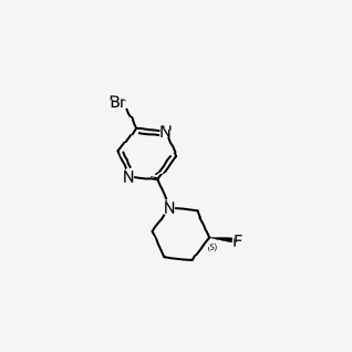 F[C@H]1CCCN(c2cnc(Br)cn2)C1